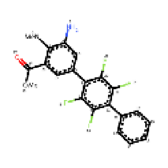 CNc1c(N)cc(-c2c(F)c(F)c(-c3ccccc3)c(F)c2F)cc1C(=O)OC